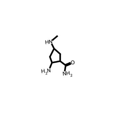 CNC1CC(N)C(C(N)=O)C1